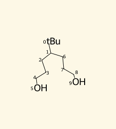 CC(C)(C)C(CCCO)CCCO